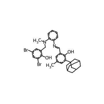 Cc1cc(/C=N/c2ccccc2N(C)Cc2cc(Br)cc(Br)c2O)c(O)c(C23CC4CC(CC(C4)C2)C3)c1